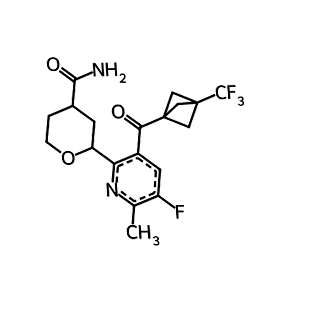 Cc1nc(C2CC(C(N)=O)CCO2)c(C(=O)C23CC(C(F)(F)F)(C2)C3)cc1F